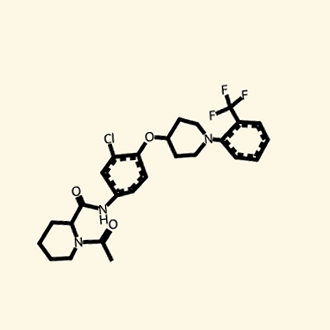 CC(=O)N1CCCCC1C(=O)Nc1ccc(OC2CCN(c3ccccc3C(F)(F)F)CC2)c(Cl)c1